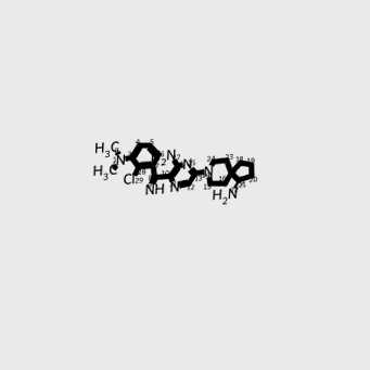 CN(C)c1cccc(C(=N)c2ncc(N3CCC4(CCC[C@H]4N)CC3)nc2N)c1Cl